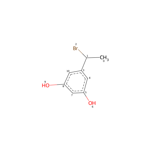 CC(Br)c1cc(O)cc(O)c1